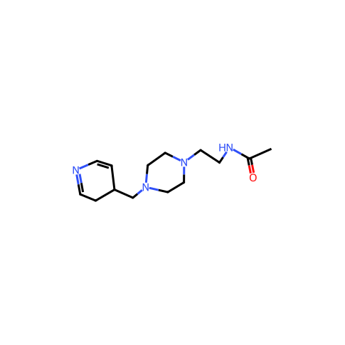 CC(=O)NCCN1CCN(CC2C=CN=CC2)CC1